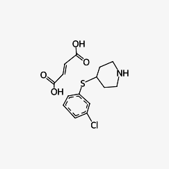 Clc1cccc(SC2CCNCC2)c1.O=C(O)C=CC(=O)O